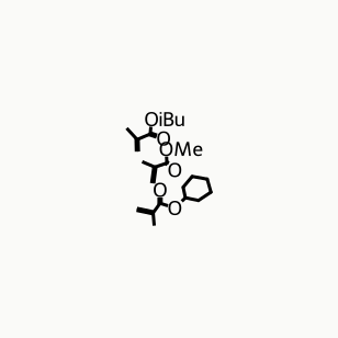 C=C(C)C(=O)OC.C=C(C)C(=O)OC1CCCCC1.C=C(C)C(=O)OCC(C)C